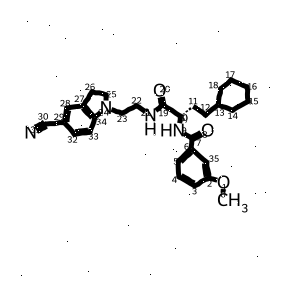 COc1cccc(C(=O)N[C@@H](CCC2CCCCC2)C(=O)NCCN2CCc3cc(C#N)ccc32)c1